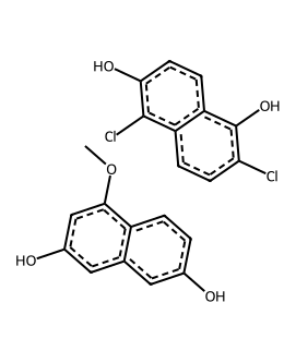 COc1cc(O)cc2cc(O)ccc12.Oc1ccc2c(O)c(Cl)ccc2c1Cl